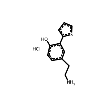 Cl.NCCc1ccc(O)c(-c2cccs2)c1